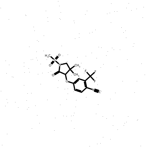 [C-]#[N+]c1ccc(OC2C(=O)N(S(C)(=O)=O)CC2(C)C)cc1C(F)(F)F